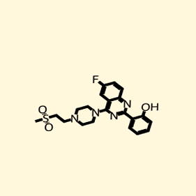 CS(=O)(=O)CCN1CCN(c2nc(-c3ccccc3O)nc3ccc(F)cc23)CC1